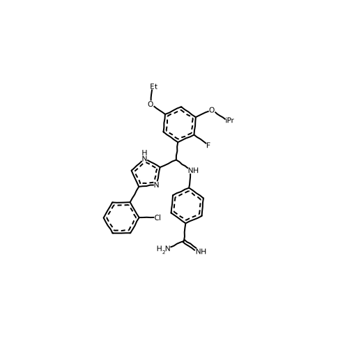 CCOc1cc(OC(C)C)c(F)c(C(Nc2ccc(C(=N)N)cc2)c2nc(-c3ccccc3Cl)c[nH]2)c1